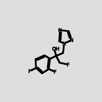 OC(CF)(Cn1cncn1)c1ccc(F)cc1F